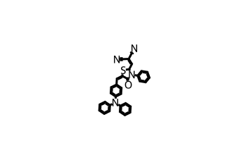 N#CC(C#N)=CC1SC(=Cc2ccc(N(c3ccccc3)c3ccccc3)cc2)C(=O)N1c1ccccc1